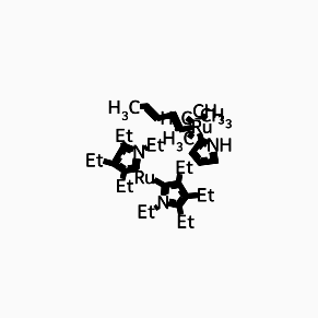 CC=CC=[CH][Ru]([CH3])([CH3])([CH3])([CH3])[c]1ccc[nH]1.CCc1c(CC)[c]([Ru][c]2c(CC)c(CC)c(CC)n2CC)n(CC)c1CC